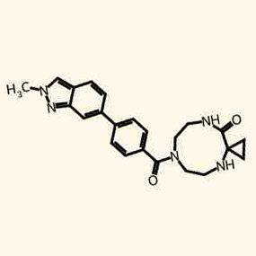 Cn1cc2ccc(-c3ccc(C(=O)N4CCNC(=O)C5(CC5)NCC4)cc3)cc2n1